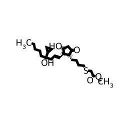 CCCCCC(O)(CC=C[C@H]1[C@H](O)CC(=O)[C@@H]1CCCCSCC(=O)OC)C1CC1